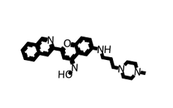 CN1CCN(CCCNc2ccc3oc(-c4cc5ccccc5cn4)c/c(=N\O)c3c2)CC1